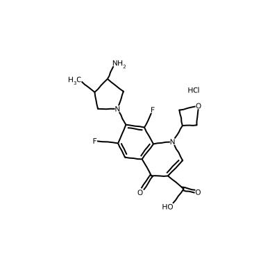 CC1CN(c2c(F)cc3c(=O)c(C(=O)O)cn(C4COC4)c3c2F)CC1N.Cl